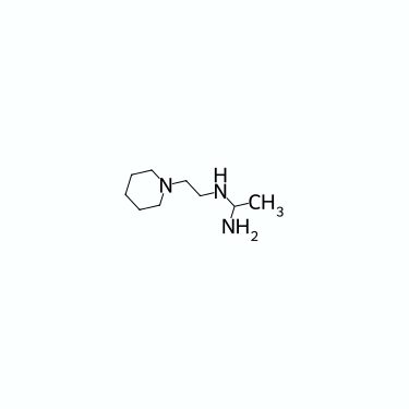 CC(N)NCCN1CCCCC1